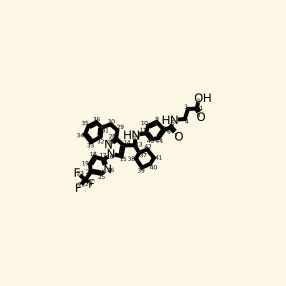 O=C(O)CCNC(=O)c1ccc(NC(c2cn(-c3ccc(C(F)(F)F)cn3)nc2CCc2ccccc2)C2CCCCC2)cc1